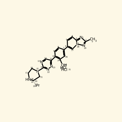 Cc1nc2ccc(-c3ccc(-c4cnc(N5CCN[C@@H](C(C)C)C5)nn4)c(O)c3)cn2n1.Cl.Cl